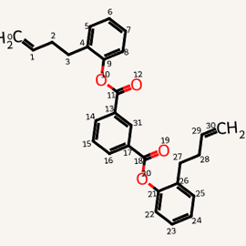 C=CCCc1ccccc1OC(=O)c1cccc(C(=O)Oc2ccccc2CCC=C)c1